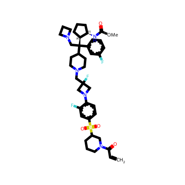 C=CC(=O)N1CCCC(S(=O)(=O)c2ccc(N3CC(F)(CN4CCC(C(CN5CCC5)(c5cccc(F)c5)[C@H]5CCC[C@@H]5NC(=O)OC)CC4)C3)c(F)c2)C1